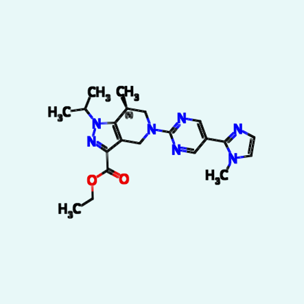 CCOC(=O)c1nn(C(C)C)c2c1CN(c1ncc(-c3nccn3C)cn1)C[C@@H]2C